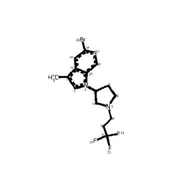 Cc1cn(C2CCN(CCC(F)(F)F)C2)c2cnc(Br)cc12